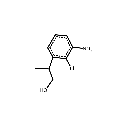 C[C](CO)c1cccc([N+](=O)[O-])c1Cl